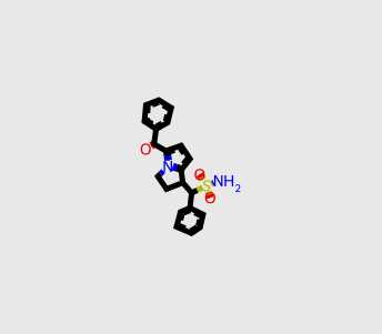 NS(=O)(=O)C(c1ccccc1)C1CCn2c(C(=O)c3ccccc3)ccc21